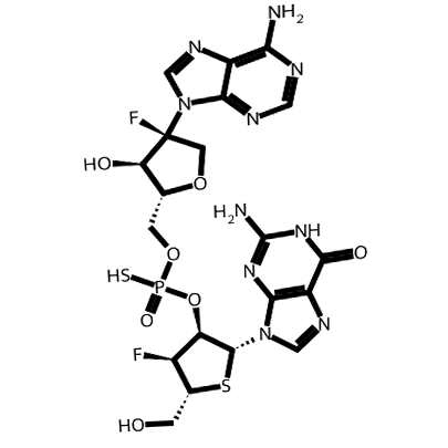 Nc1nc2c(ncn2[C@@H]2S[C@H](CO)[C@@H](F)[C@H]2OP(=O)(S)OC[C@H]2OC[C@@](F)(n3cnc4c(N)ncnc43)[C@@H]2O)c(=O)[nH]1